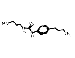 CCCCc1ccc(NC(=O)NCCCO)cc1